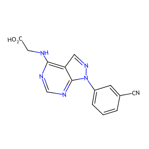 N#Cc1cccc(-n2ncc3c(NCC(=O)O)ncnc32)c1